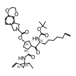 C=CCCCCC[C@H](NC(=O)OC(C)(C)C)C(=O)C1C[C@H](OC(=O)N2Cc3ccc4c(c3C2)OCCO4)C[C@H]1C(=O)N[C@]1(CC)C[C@H]1C=C